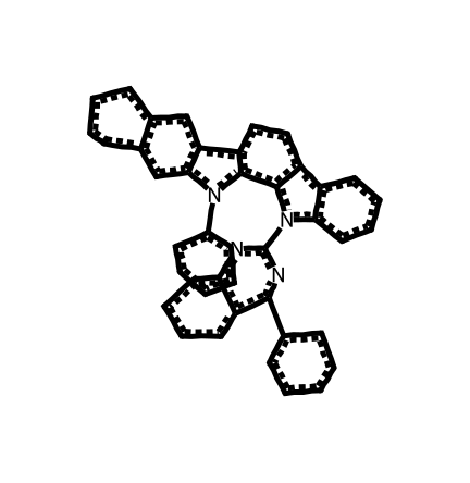 c1ccc(-c2nc(-n3c4ccccc4c4ccc5c6cc7ccccc7cc6n(-c6ccccc6)c5c43)nc3ccccc23)cc1